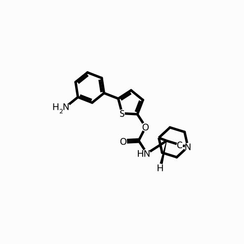 Nc1cccc(-c2ccc(OC(=O)N[C@H]3CN4CCC3CC4)s2)c1